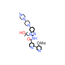 COc1ccncc1-c1cc(C(=O)Nc2nc3ccc(N4CCC(N5CCN(C)CC5)CC4)cc3n2CC(C)(C)O)ccn1